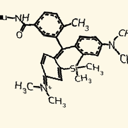 CCCCNC(=O)c1ccc(C)c(C2=C3C=CC(=[N+](C)C)C=C3[Si](C)(C)c3cc(N(C)C)ccc32)c1